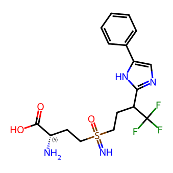 N=S(=O)(CCC(c1ncc(-c2ccccc2)[nH]1)C(F)(F)F)CC[C@H](N)C(=O)O